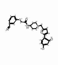 N#Cc1cccc(OCC(=O)NC2CCN(Cc3ccc(-c4ccc(Cl)cc4Cl)o3)CC2)c1